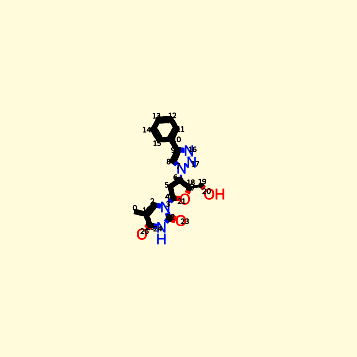 Cc1cn(C2C[C@H](n3cc(-c4ccccc4)nn3)[C@@H](CO)O2)c(=O)[nH]c1=O